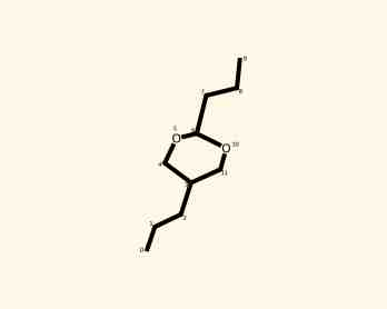 CCCC1COC(CCC)OC1